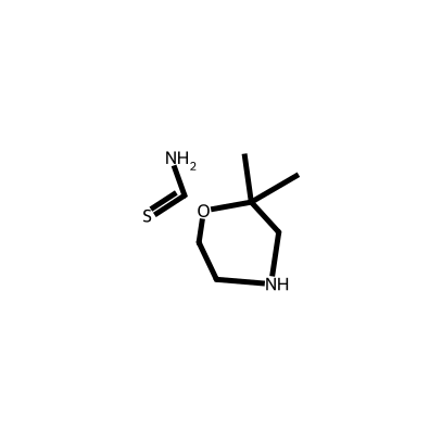 CC1(C)CNCCO1.NC=S